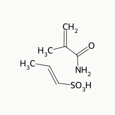 C=C(C)C(N)=O.CC=CS(=O)(=O)O